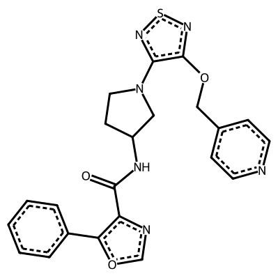 O=C(NC1CCN(c2nsnc2OCc2ccncc2)C1)c1ncoc1-c1ccccc1